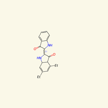 CCC1=CC2N/C(=C3/Nc4ccccc4C3=O)C(=O)C2C(CC)=C1